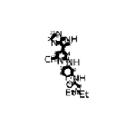 CCN(CC)CC(=O)NC1CCCC(Nc2cc(-c3c[nH]c4nccnc34)cc(Cl)n2)C1